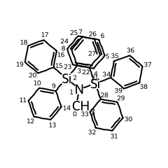 CN([Si](c1ccccc1)(c1ccccc1)c1ccccc1)[Si](c1ccccc1)(c1ccccc1)c1ccccc1